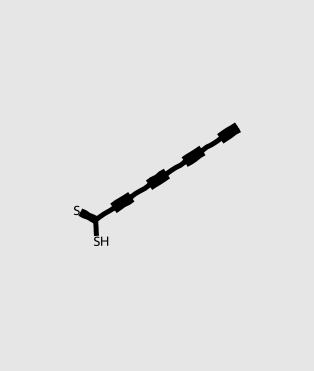 C#CC#CC#CC#CC(=S)S